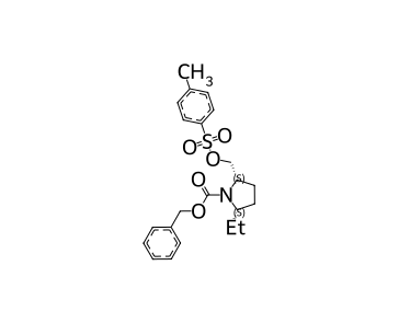 CC[C@H]1CC[C@@H](COS(=O)(=O)c2ccc(C)cc2)N1C(=O)OCc1ccccc1